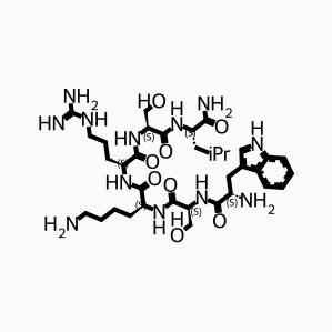 CC(C)C[C@H](NC(=O)[C@H](CO)NC(=O)[C@H](CCCNC(=N)N)NC(=O)[C@H](CCCCN)NC(=O)[C@H](CO)NC(=O)[C@@H](N)Cc1c[nH]c2ccccc12)C(N)=O